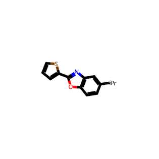 CC(C)c1ccc2oc(-c3cccs3)nc2c1